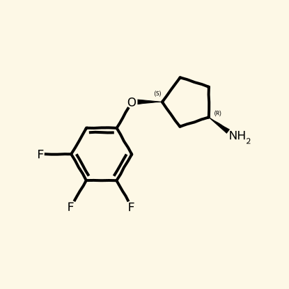 N[C@@H]1CC[C@H](Oc2cc(F)c(F)c(F)c2)C1